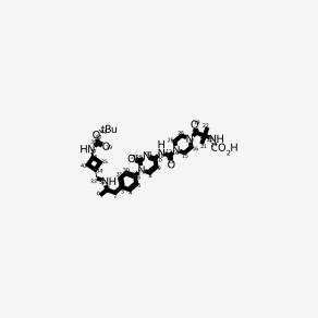 CC(Cc1ccc(-n2ccc(NC(=O)N3CCN(C(=O)C(C)(C)NC(=O)O)CC3)nc2=O)cc1)NC[C@H]1C[C@H](NC(=O)OC(C)(C)C)C1